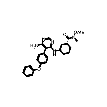 CON(C)C(=O)[C@@H]1CCC[C@@H](Nc2ncnc(N)c2-c2ccc(Oc3ccccc3)cc2)C1